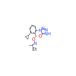 CCC(C)=NOCc1c(C2CC2)cccc1-n1nn[nH]c1=O